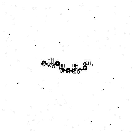 COc1cccc(CCC(=O)Nc2nnc(-c3ccc(C4COC(C(=O)Nc5cccc(C(=O)Nc6nnc(-c7ccccn7)[nH]6)c5)C4)cn3)[nH]2)c1